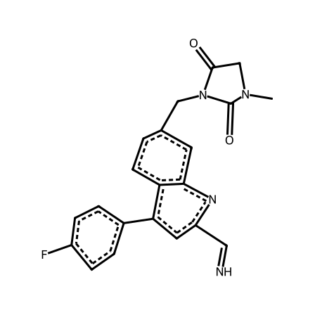 CN1CC(=O)N(Cc2ccc3c(-c4ccc(F)cc4)cc(C=N)nc3c2)C1=O